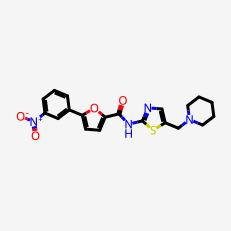 O=C(Nc1ncc(CN2CCCCC2)s1)c1ccc(-c2cccc([N+](=O)[O-])c2)o1